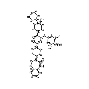 Cc1cc(C[C@@H](OC(=O)N2CCC(N3CCc4ccccc4NC3=O)CC2)C(=O)N2CC[N+]([O-])(C3CCOCC3)CC2)cc(C)c1O